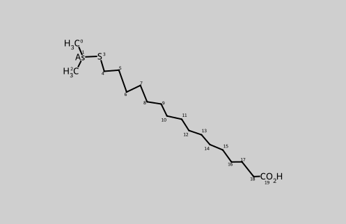 C[As](C)SCCCCCCCCCCCCCCCC(=O)O